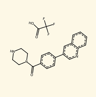 O=C(O)C(F)(F)F.O=C(c1ccc(-c2cnc3ccccc3c2)cc1)N1CCNCC1